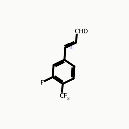 O=C/C=C/c1ccc(C(F)(F)F)c(F)c1